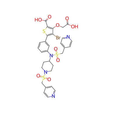 O=C(O)COc1c(C(=O)O)sc(-c2cccc(N(C3CCN(S(=O)(=O)Cc4ccncc4)CC3)S(=O)(=O)Cc3ccncc3)c2)c1Br